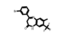 Cc1cc2c(cc1C(F)(F)F)NC(=O)CC(c1cccc(Br)c1)=N2